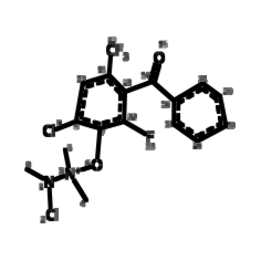 CN(Cl)[N+](C)(C)Oc1c(Cl)cc(C(F)(F)F)c(C(=O)c2ccccc2)c1F